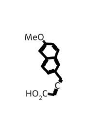 COc1ccc2cc(C=C=CC(=O)O)ccc2c1